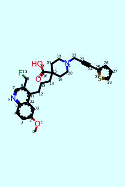 COc1ccc2ncc(CF)c(CCCC3(C(=O)O)CCN(CC#Cc4cccs4)CC3)c2c1